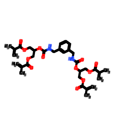 C=C(C)C(=O)OCC(COC(=O)C(=C)C)OC(=O)NCc1cccc(CNC(=O)OC(COC(=O)C(=C)C)COC(=O)C(=C)C)c1